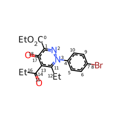 CCOC(=O)c1nn(-c2ccc(Br)cc2)c(CC)c(C(=O)CC)c1=O